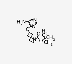 CC(C)(C)OC(=O)N1CCC12CC(Oc1ncncc1N)C2